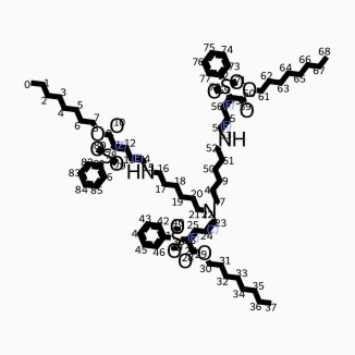 CCCCCCCCOC(=O)/C(=C/C=C/NCCCCCCN(/C=C\C=C(/C(=O)OCCCCCCCC)S(=O)(=O)c1ccccc1)CCCCCCN/C=C/C=C(\C(=O)OCCCCCCCC)S(=O)(=O)c1ccccc1)S(=O)(=O)c1ccccc1